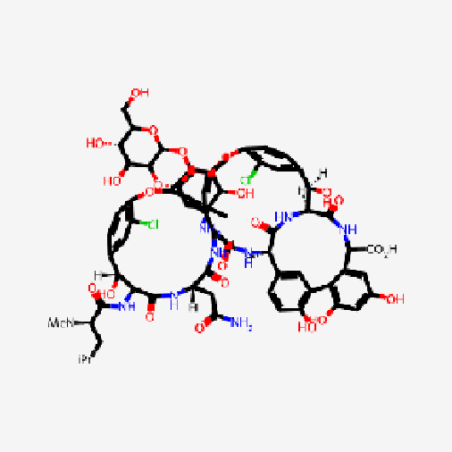 CN[C@H](CC(C)C)C(=O)NC1C(=O)N[C@@H](CC(N)=O)C(=O)N[C@H]2C(=O)N[C@H]3C(=O)N[C@H](C(=O)NC(C(=O)O)c4cc(O)cc(O)c4-c4cc3ccc4O)[C@H](O)c3ccc(c(Cl)c3)Oc3cc2cc(c3O[C@@H]2OC(CO)[C@@H](O)C(O)C2O[C@H]2CC(C)(N)[C@H](O)C(C)O2)Oc2ccc(cc2Cl)[C@H]1O